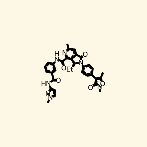 CCC1c2c(cc(C)nc2C(=O)Nc2cccc(C(=O)Nc3ccn(C)n3)c2)C(=O)N1c1ccc(-c2c(C)on(C)c2=O)cc1